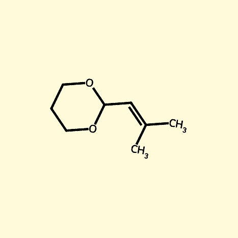 CC(C)=CC1OCCCO1